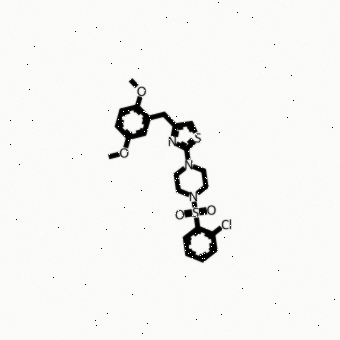 COc1ccc(OC)c(Cc2csc(N3CCN(S(=O)(=O)c4ccccc4Cl)CC3)n2)c1